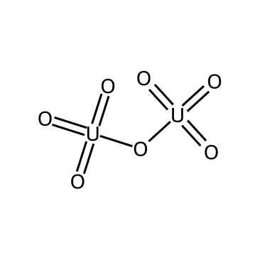 [O]=[U](=[O])(=[O])[O][U](=[O])(=[O])=[O]